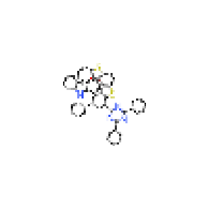 C1=Cc2sc3ccc4sc5c(-c6nc(-c7ccccc7)nc(-c7ccccc7)n6)cc(-c6ccccc6-n6c7ccccc7c7ccccc76)cc5c4c3c2CC1